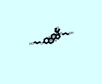 C[C@]12CCC(OCCCO)CC1CC[C@@H]1[C@H]2CC[C@]2(C)C(OCCCO)(c3ccoc3)CC[C@@]12O